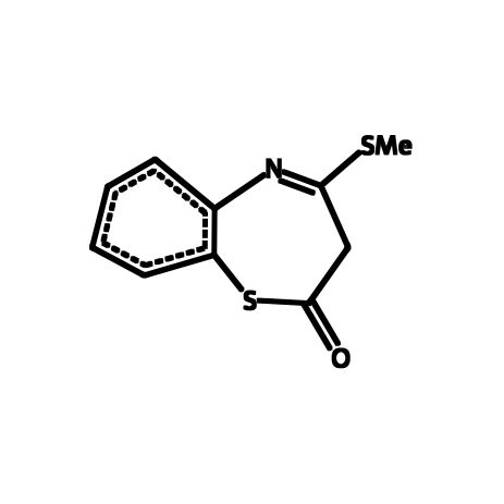 CSC1=Nc2ccccc2SC(=O)C1